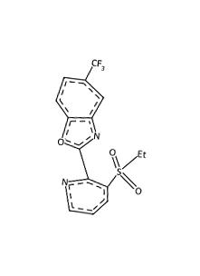 CCS(=O)(=O)c1cccnc1-c1nc2cc(C(F)(F)F)ccc2o1